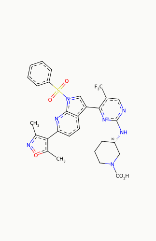 Cc1noc(C)c1-c1ccc2c(-c3nc(N[C@H]4CCCN(C(=O)O)C4)ncc3C(F)(F)F)cn(S(=O)(=O)c3ccccc3)c2n1